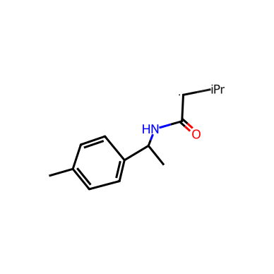 Cc1ccc(C(C)NC(=O)[CH]C(C)C)cc1